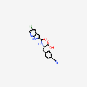 N#Cc1ccc(CC(NC(=O)c2cc3cc(Cl)cnc3[nH]2)C(=O)O)cc1